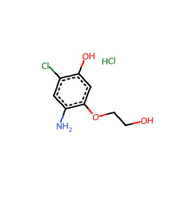 Cl.Nc1cc(Cl)c(O)cc1OCCO